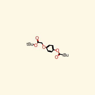 CCC(C)C(=O)Oc1ccc(OCC(=O)OC(C)(C)C)cc1